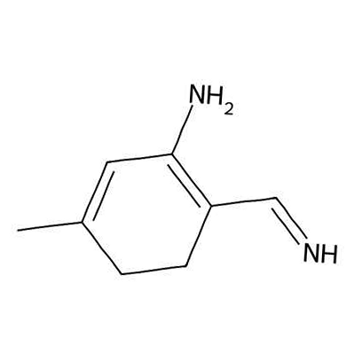 CC1=CC(N)=C(C=N)CC1